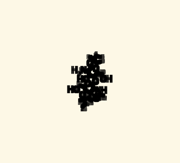 CCC(C)(CC)OC1OC(CO)C(OC2OC(CO)C(OC(C)(CC)CC)C(O)C2NC(C)=O)C(O)C1N